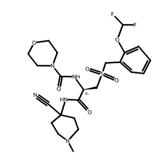 CN1CCC(C#N)(NC(=O)[C@H](CS(=O)(=O)Cc2ccccc2OC(F)F)NC(=O)N2CCOCC2)CC1